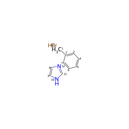 Br.Cc1ccccc1.c1c[nH]cn1